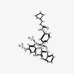 COc1cc(Nc2nc3ccccc3nc2NS(=O)(=O)c2cccc(NC(=O)CCC3CCCC3)c2)cc(OC)c1